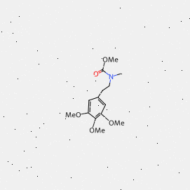 COC(=O)N(C)CCc1cc(OC)c(OC)c(OC)c1